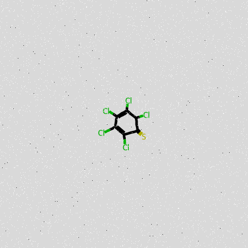 S=C1C(Cl)=C(Cl)C(Cl)=C(Cl)C1Cl